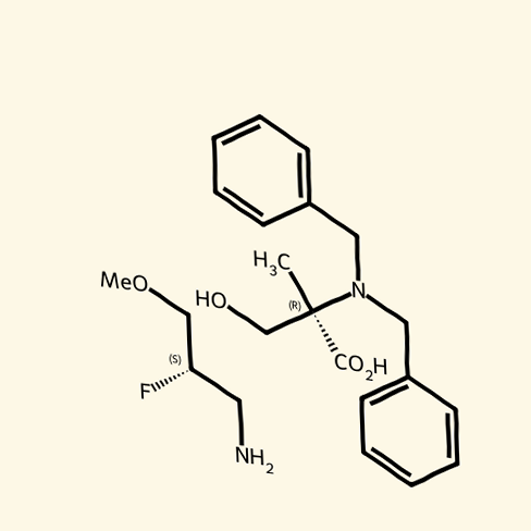 COC[C@@H](F)CN.C[C@@](CO)(C(=O)O)N(Cc1ccccc1)Cc1ccccc1